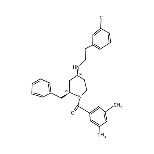 Cc1cc(C)cc(C(=O)N2CC[C@H](NCCc3cccc(Cl)c3)C[C@@H]2Cc2ccccc2)c1